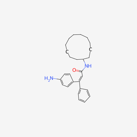 Nc1ccc(C(=CC(=O)NC2CCCCCCCCCCC2)c2ccccc2)cc1